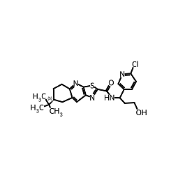 CC(C)(C)[C@H]1CCc2nc3sc(C(=O)NC(CCO)c4ccc(Cl)nc4)nc3cc2C1